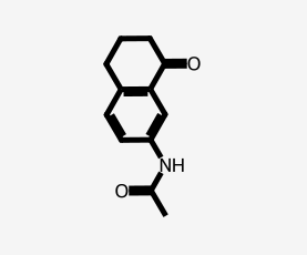 CC(=O)Nc1ccc2c(c1)C(=O)CCC2